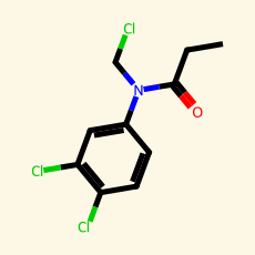 CCC(=O)N(CCl)c1ccc(Cl)c(Cl)c1